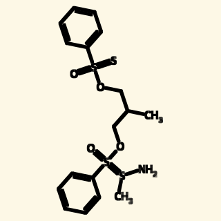 CC(COS(=O)(=S)c1ccccc1)COS(=O)(c1ccccc1)=S(C)N